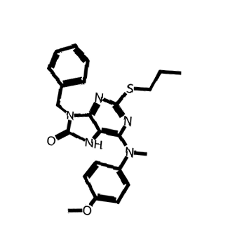 CCCSc1nc(N(C)c2ccc(OC)cc2)c2[nH]c(=O)n(Cc3ccccc3)c2n1